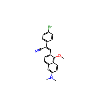 COc1c(/C=C(\C#N)c2ccc(Br)cc2)ccc2cc(N(C)C)ccc12